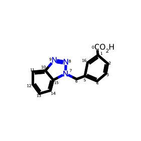 O=C(O)c1cccc(Cn2nnc3ccccc32)c1